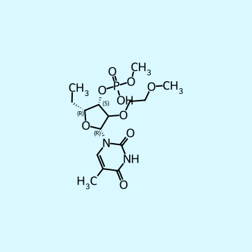 CC[C@H]1O[C@@H](n2cc(C)c(=O)[nH]c2=O)C(OCCOC)[C@H]1OP(=O)(O)OC